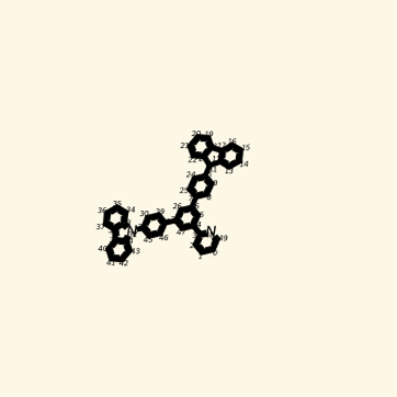 c1ccc(-c2cc(-c3ccc(C4c5ccccc5-c5ccccc54)cc3)cc(-c3ccc(-n4c5ccccc5c5ccccc54)cc3)c2)nc1